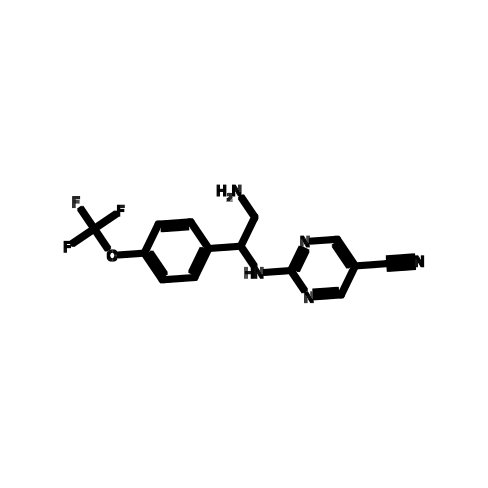 N#Cc1cnc(NC(CN)c2ccc(OC(F)(F)F)cc2)nc1